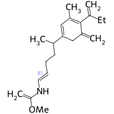 C=C(N/C=C/CCC(C)C1=CC(C)=C(C(=C)CC)C(=C)C1)OC